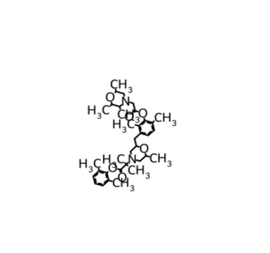 Cc1cccc(C)c1OC(=O)C(C)(C)N1CC(C)OC(Cc2ccc(C)c(OC(=O)CN3CC(C)OC(C)C3C)c2C)C1